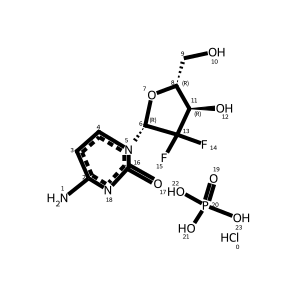 Cl.Nc1ccn([C@@H]2O[C@H](CO)[C@@H](O)C2(F)F)c(=O)n1.O=P(O)(O)O